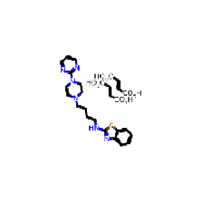 O=C(O)C=CC(=O)O.O=C(O)C=CC(=O)O.c1cnc(N2CCN(CCCCNc3nc4ccccc4s3)CC2)nc1